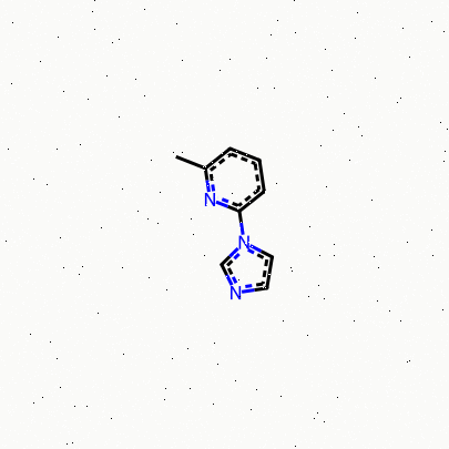 Cc1cccc(-n2ccnc2)n1